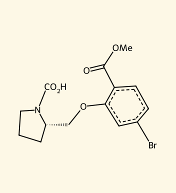 COC(=O)c1ccc(Br)cc1OC[C@@H]1CCCN1C(=O)O